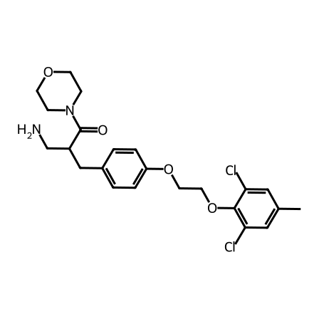 Cc1cc(Cl)c(OCCOc2ccc(CC(CN)C(=O)N3CCOCC3)cc2)c(Cl)c1